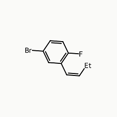 CC/C=C\c1cc(Br)ccc1F